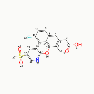 Cc1c(CC(=O)O)cc2ccc(F)cc2c1Oc1ccc(S(C)(=O)=O)cn1